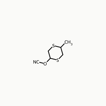 CC1CSC(OC#N)CS1